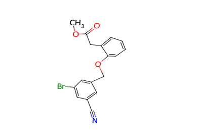 COC(=O)Cc1ccccc1OCc1cc(Br)cc(C#N)c1